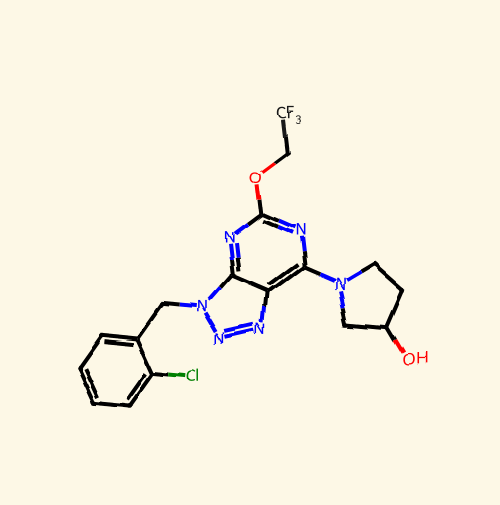 OC1CCN(c2nc(OCC(F)(F)F)nc3c2nnn3Cc2ccccc2Cl)C1